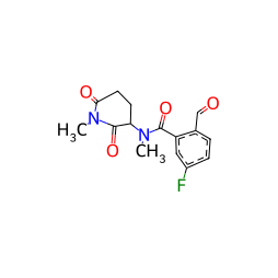 CN1C(=O)CCC(N(C)C(=O)c2cc(F)ccc2C=O)C1=O